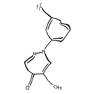 O=c1cnn(-c2cccc(C(F)(F)F)c2)cc1O